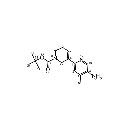 Cc1cc(C2=CCCN(C(=O)OC(C)(C)C)C2)ncc1N